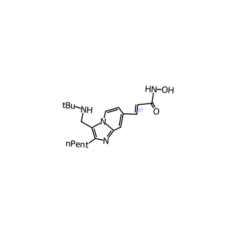 CCCCCc1nc2cc(/C=C/C(=O)NO)ccn2c1CNC(C)(C)C